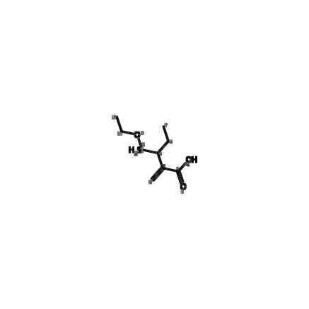 C=C(C(=O)O)C(CC)[SiH2]OCC